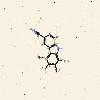 [2H]c1c([2H])c([2H])c2c([nH]c3ccc(C#N)cc32)c1[2H]